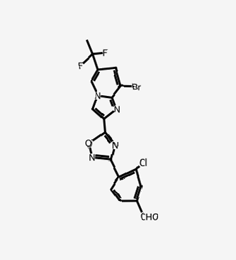 CC(F)(F)c1cc(Br)c2nc(-c3nc(-c4ccc(C=O)cc4Cl)no3)cn2c1